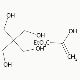 C=C(O)C(=O)OCC.OCC(CO)(CO)CO